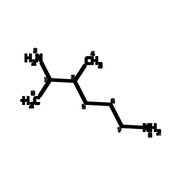 [CH2]C(N)C(C)CCCN